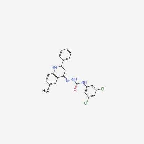 Cc1ccc2c(c1)C(=NNC(=O)Nc1cc(Cl)cc(Cl)c1)CC(c1ccccc1)N2